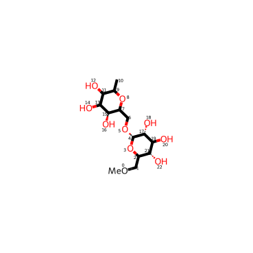 COCC1O[C@H](OCC2OC(C)C(O)C(O)[C@@H]2O)[C@H](O)C(O)[C@@H]1O